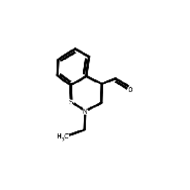 CCN1CC(C=O)c2ccccc2S1